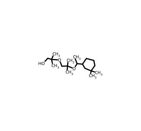 CC(OC(C)(C)COC(C)(C)CO)C1CCCC(C)(C)C1